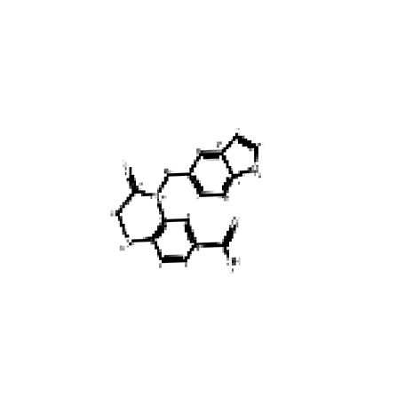 O=C(O)c1ccc2c(c1)N(Cc1ccc3occc3c1)C(=O)CS2